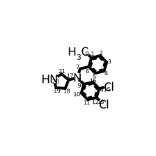 Cc1ccccc1CN(c1ccc(Cl)c(Cl)c1)C1CCNC1